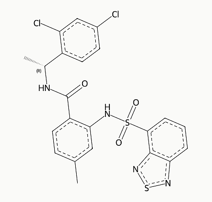 Cc1ccc(C(=O)N[C@H](C)c2ccc(Cl)cc2Cl)c(NS(=O)(=O)c2cccc3nsnc23)c1